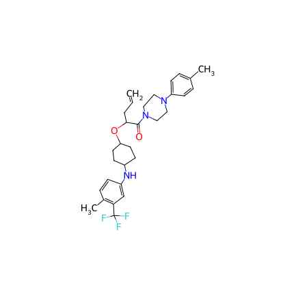 C=CCC(OC1CCC(Nc2ccc(C)c(C(F)(F)F)c2)CC1)C(=O)N1CCN(c2ccc(C)cc2)CC1